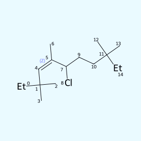 CCC(C)(C)/C=C(/C)C(Cl)CCC(C)(C)CC